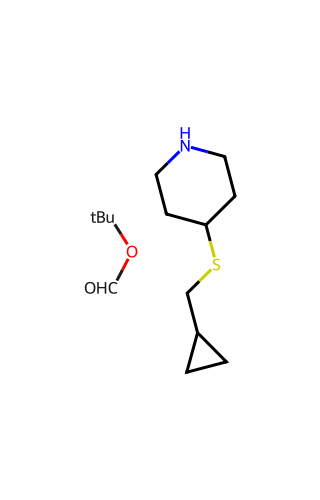 C1CC(SCC2CC2)CCN1.CC(C)(C)OC=O